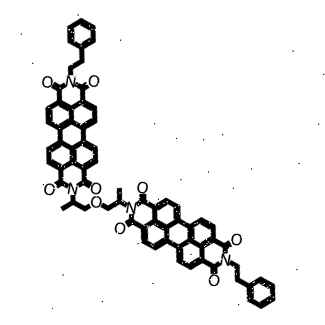 CC(COCC(C)N1C(=O)c2ccc3c4ccc5c6c(ccc(c7ccc(c2c37)C1=O)c64)C(=O)N(CCc1ccccc1)C5=O)N1C(=O)c2ccc3c4ccc5c6c(ccc(c7ccc(c2c37)C1=O)c64)C(=O)N(CCc1ccccc1)C5=O